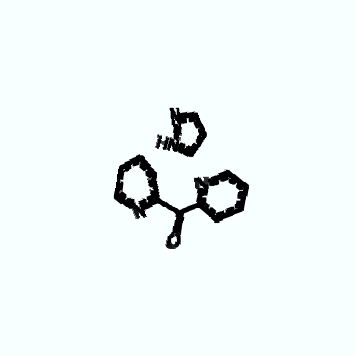 O=C(c1ccccn1)c1ccccn1.c1cn[nH]c1